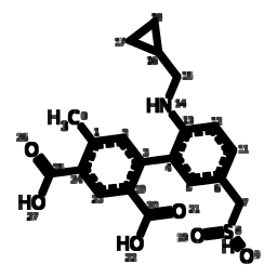 Cc1cc(-c2cc(C[SH](=O)=O)ccc2NCC2CC2)c(C(=O)O)cc1C(=O)O